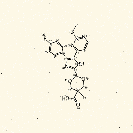 CSc1nccc(-c2[nH]c(C3OCC(C)(C(=O)O)CO3)nc2-c2ccc(F)cc2)n1